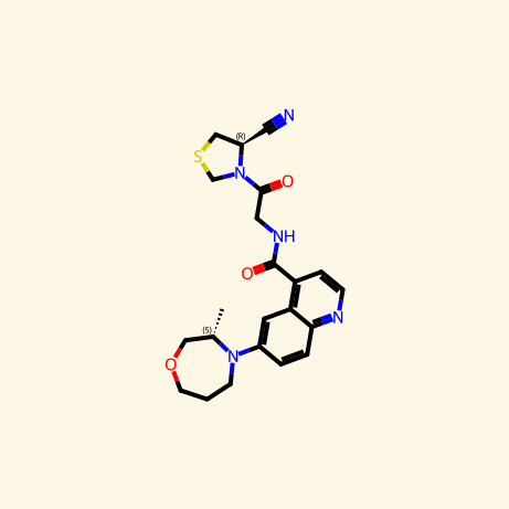 C[C@H]1COCCCN1c1ccc2nccc(C(=O)NCC(=O)N3CSC[C@H]3C#N)c2c1